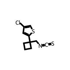 S=C=NCC1(c2cc(Cl)cs2)CCC1